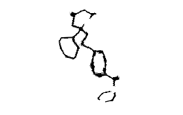 O=C1CC(=O)OC(CCc2ccc(C(=O)N3CCOCC3)cc2)(C2CCCC2)C1